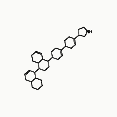 C1=CC2C(C3CC=C(C4CC=C(C5CCNC5)CC4)CC3)CCC(C3C=CCC4CCCCC43)C2CC1